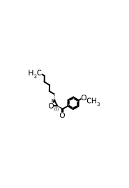 CCCCCC[C@H]1O[C@@H]1C(=O)c1ccc(OC)cc1